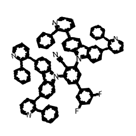 N#Cc1c(-n2c3ccc(-c4cccnc4-c4ccccc4)cc3c3cc(-c4cccnc4-c4ccccc4)ccc32)cc(-c2cc(F)cc(F)c2)cc1-n1c2ccc(-c3cccnc3-c3ccccc3)cc2c2cc(-c3cccnc3-c3ccccc3)ccc21